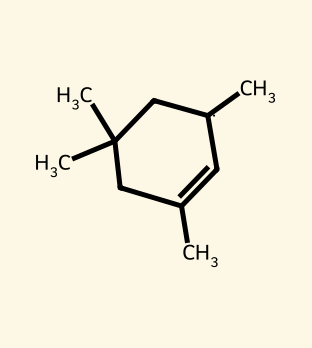 C[C]1C=C(C)CC(C)(C)C1